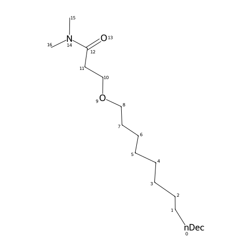 CCCCCCCCCCCCCCCCCCOCCC(=O)N(C)C